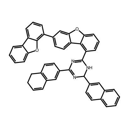 C1=Cc2cc(C3=NC(c4ccc5ccccc5c4)NC(c4cccc5oc6cc(-c7cccc8c7oc7ccccc78)ccc6c45)=N3)ccc2CC1